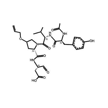 C=CCOC1C[C@@H](C(=O)N[C@H](C=O)CC(=O)O)N(C(=O)[C@@H](NC(=O)[C@H](Cc2ccc(O)cc2)NC(C)=O)C(C)C)C1